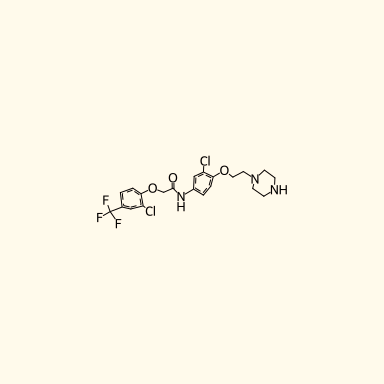 O=C(COc1ccc(C(F)(F)F)cc1Cl)Nc1ccc(OCCN2CCNCC2)c(Cl)c1